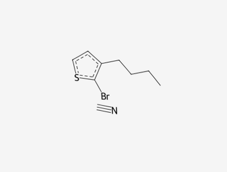 C#N.CCCCc1ccsc1Br